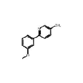 COc1cccc(-c2ccc(N)cn2)c1